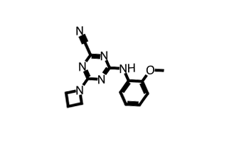 COc1ccccc1Nc1nc(C#N)nc(N2CCC2)n1